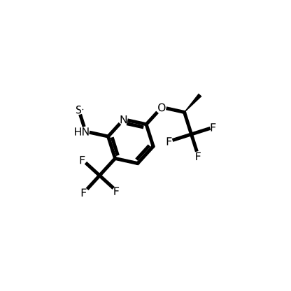 C[C@H](Oc1ccc(C(F)(F)F)c(N[S])n1)C(F)(F)F